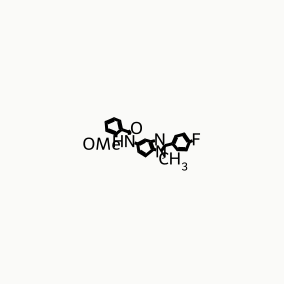 COc1ccccc1C(=O)Nc1ccc2c(c1)nc(-c1ccc(F)cc1)n2C